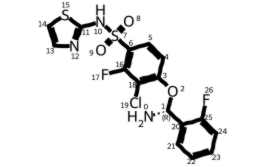 N[C@H](Oc1ccc(S(=O)(=O)Nc2nccs2)c(F)c1Cl)c1ccccc1F